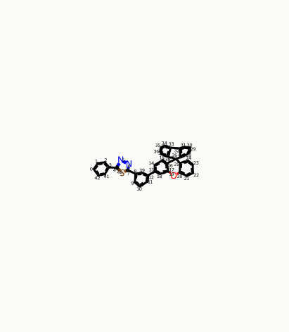 c1ccc(-c2nnc(-c3cccc(-c4ccc5c(c4)Oc4ccccc4C54c5ccccc5-c5ccccc54)c3)s2)cc1